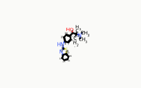 [CH2]C(C)([C](O)c1ccc(Nc2nc3ccccc3s2)cc1)N(C)C